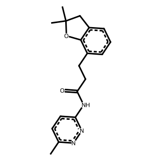 Cc1ccc(NC(=O)CCc2cccc3c2OC(C)(C)C3)nn1